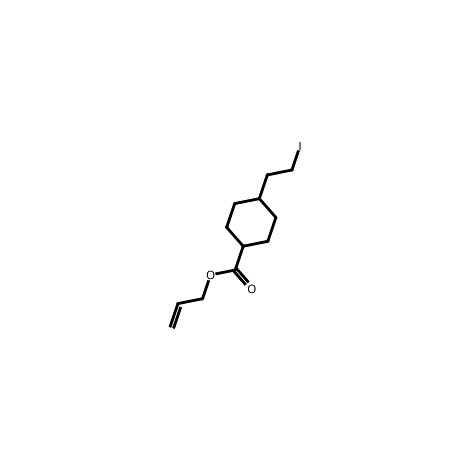 C=CCOC(=O)C1CCC(CCI)CC1